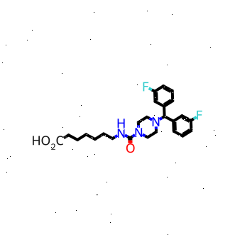 O=C(O)CCCCCCNC(=O)N1CCN(C(c2cccc(F)c2)c2cccc(F)c2)CC1